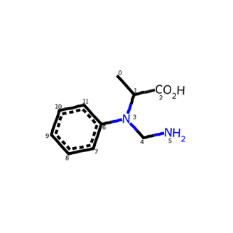 CC(C(=O)O)N(CN)c1ccccc1